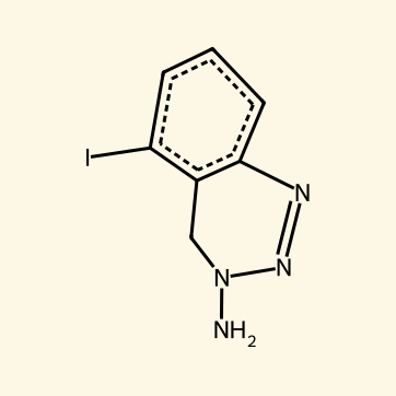 NN1Cc2c(I)cccc2N=N1